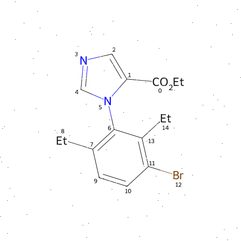 CCOC(=O)c1cncn1-c1c(CC)ccc(Br)c1CC